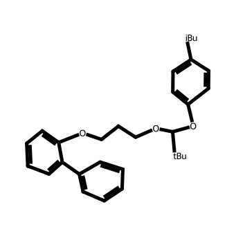 CCC(C)c1ccc(OC(OCCCOc2ccccc2-c2ccccc2)C(C)(C)C)cc1